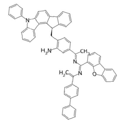 C=C(/N=C(\N=C(/C)c1ccc(C[C@@H]2c3ccccc3-c3ccc4c(c32)c2ccccc2n4-c2ccccc2)c(N)c1)c1cccc2c1oc1ccccc12)c1ccc(-c2ccccc2)cc1